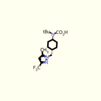 Cc1cc(C(F)(F)F)nn1C[C@H]1CC[C@H](N(C(=O)O)C(C)(C)C)CC1